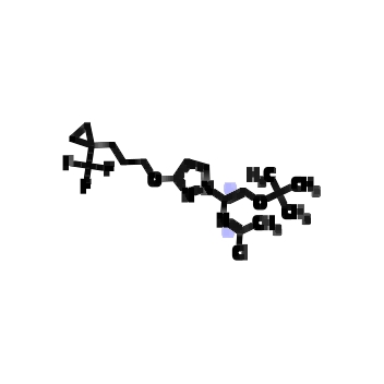 C/C(Cl)=N\C(=C/OC(C)(C)C)n1ccc(OCCCC2(C(F)(F)F)CC2)n1